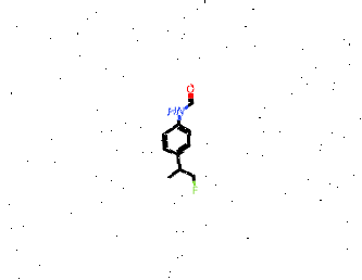 CC(CF)c1ccc(NC=O)cc1